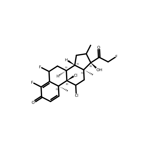 CC1C[C@H]2[C@@H]3CC(F)C4=C(F)C(=O)C=C[C@]4(C)[C@@]3(Cl)C(Cl)C[C@]2(C)[C@@]1(O)C(=O)CF